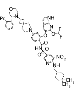 CC(C)c1ccccc1[C@@H]1COCCN1C1CC2(CCN(c3ccc(C(=O)NS(=O)(=O)c4cnc(NCC5CCC(C)(C)CC5)c([N+](=O)[O-])c4)c(Oc4cc5cc[nH]c5nc4OC(F)F)c3)CC2)C1